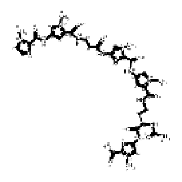 CC(=O)N[C@H](CCNC(=O)c1cc(NC(=O)c2nc(NC(=O)CCNC(=O)c3cc(NC(=O)c4nccn4C)cn3C)cn2C)cn1C)C(=O)Nc1cn(C)c(C(=O)O)n1